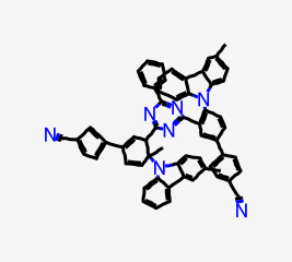 Cc1ccc2c(c1)c1ccccc1n2-c1ccc(-c2ccc(C#N)cc2)cc1-c1nc(-c2ccccc2)nc(C2C=C(c3ccc(C#N)cc3)C=CC2(C)n2c3ccccc3c3cc(C)ccc32)n1